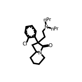 CCCN(CCC)CCC1(c2ccccc2Cl)CC2CCCCN2C1=O